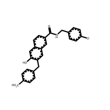 O=C(O)c1ccc(Cc2cc3cc(C(=O)NCc4ccc(Cl)cc4)ccc3cc2O)cc1